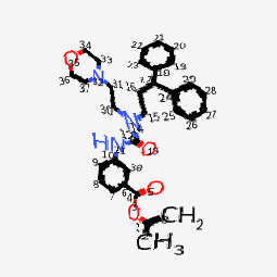 C=C(C)OC(=O)c1cccc(NC(=O)N(CCC(c2ccccc2)c2ccccc2)CCN2CCOCC2)c1